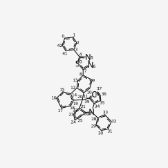 c1ccc(-c2nnc(-c3ccc4c(c3)-c3ccccc3C43c4ccccc4N(c4ccccc4)c4ccccc43)s2)cc1